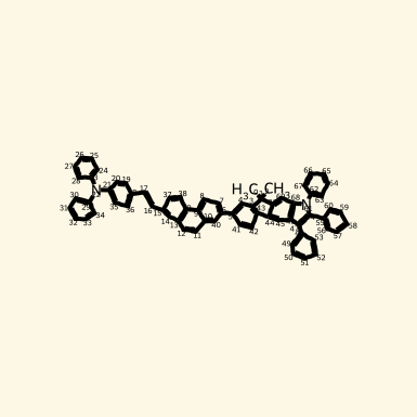 CC1(C)c2cc(-c3ccc4c(ccc5cc(/C=C/c6ccc(N(c7ccccc7)c7ccccc7)cc6)ccc54)c3)ccc2-c2cc3c(-c4ccccc4)c(-c4ccccc4)n(-c4ccccc4)c3cc21